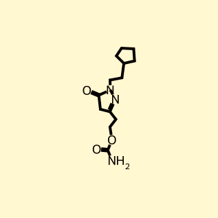 NC(=O)OCCC1=NN(CCC2CCCC2)C(=O)C1